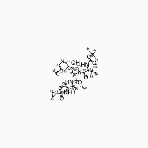 C=C[C@@H]1C[C@]1(NC(=O)[C@@H]1C[C@@](O)(C2C=CC=C(OC)C2)CN1C(=O)[C@@H](NC(=O)OC(C)(C)C)C(C)(C)C)C(=O)NS(=O)(=O)C1CC1